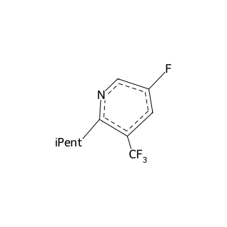 CCCC(C)c1ncc(F)cc1C(F)(F)F